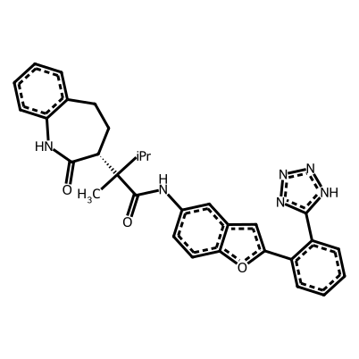 CC(C)C(C)(C(=O)Nc1ccc2oc(-c3ccccc3-c3nnn[nH]3)cc2c1)[C@H]1CCc2ccccc2NC1=O